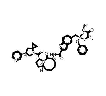 CC(C)OC(=O)[C@H](C)NP(=O)(Cc1ccc2sc(C(=O)N[C@H]3CCCC[C@H]4CC[C@@H](C(=O)N5C[C@@H](c6cccnc6)CC56CC6)N4C3=O)cc2c1)Oc1ccccc1